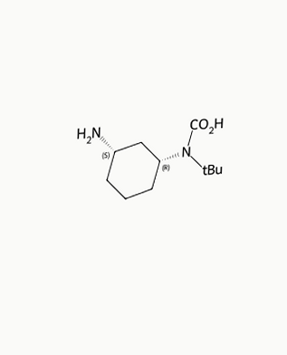 CC(C)(C)N(C(=O)O)[C@@H]1CCC[C@H](N)C1